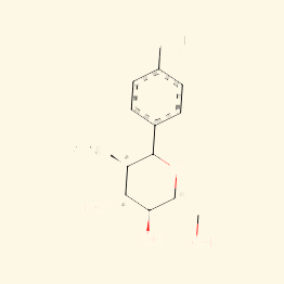 CC(=O)N[C@H]1C(c2ccc(C(=O)O)cc2)O[C@H](CO)[C@@H](O)[C@@H]1O